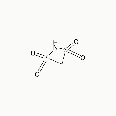 O=S1(=O)CS(=O)(=O)N1